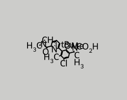 COc1c(C(C)N(C(=O)O)C(C)(C)C)cc(Cl)c(C)c1-c1cccc(C(=O)N(C)C)n1